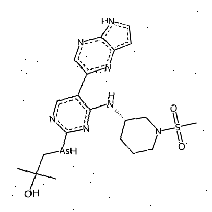 CC(C)(O)C[AsH]c1ncc(-c2cnc3[nH]ccc3n2)c(N[C@H]2CCCN(S(C)(=O)=O)C2)n1